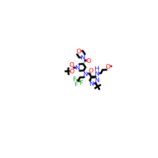 COCCCNc1nc(C(C)(C)C)ncc1C(=O)N(CCC(F)(F)F)[C@H]1C[C@@H](C(=O)N2CCOCC2)CN(C(=O)OC(C)(C)C)C1